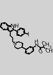 CC(C)C(=O)Nc1cccc(C2CCN(CCCc3c(-c4ccc(I)cc4)[nH]c4ccccc34)CC2)c1